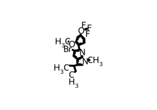 CCC(CC)c1cn(C)c2nc(-c3ccc(OC(F)(F)F)cc3OC)c(Br)cc12